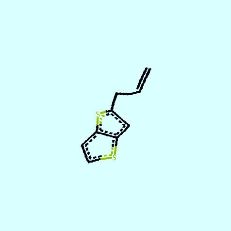 C=CCc1cc2sccc2s1